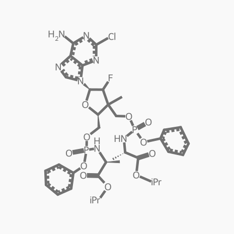 CC(C)OC(=O)[C@H](C)NP(=O)(OC[C@H]1O[C@@H](n2cnc3c(N)nc(Cl)nc32)C(F)C1(C)COP(=O)(N[C@@H](C)C(=O)OC(C)C)Oc1ccccc1)Oc1ccccc1